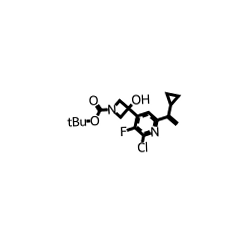 C=C(c1cc(C2(O)CN(C(=O)OC(C)(C)C)C2)c(F)c(Cl)n1)C1CC1